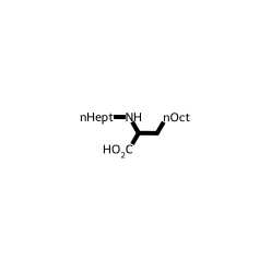 CCCCCCCCCC(NCCCCCCC)C(=O)O